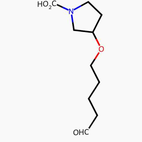 O=CCCCCOC1CCN(C(=O)O)C1